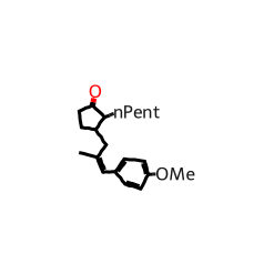 CCCCCC1C(=O)CCC1CC(C)=Cc1ccc(OC)cc1